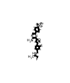 CC(CF)NCc1ccc(-c2cc(-c3nc(-c4ccc(S(=O)(=O)C(C)C)cc4)cnc3N)on2)c(F)c1